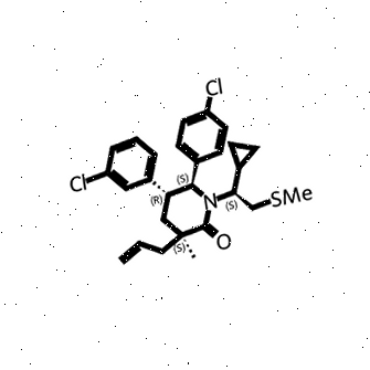 C=CC[C@@]1(C)C[C@H](c2cccc(Cl)c2)[C@@H](c2ccc(Cl)cc2)N([C@H](CSC)C2CC2)C1=O